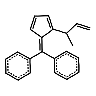 C=CC(C)C1=CC=CC1=C(c1ccccc1)c1ccccc1